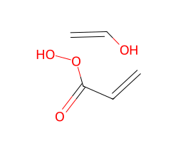 C=CC(=O)OO.C=CO